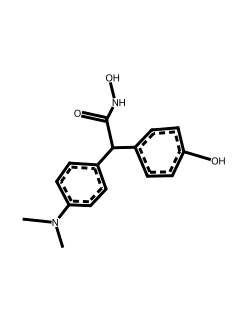 CN(C)c1ccc(C(C(=O)NO)c2ccc(O)cc2)cc1